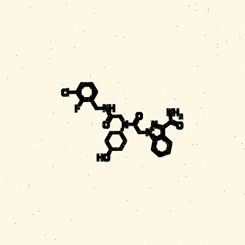 NC(=O)c1nn(CC(=O)N(CC(=O)NCc2cccc(Cl)c2F)[C@H]2CC[C@H](O)CC2)c2ccccc12